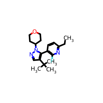 CCc1ccc(-c2c(C(C)(C)C)cnn2C2CCOCC2)c(F)n1